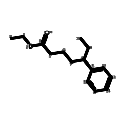 CCOC(=O)CCCC(CC)c1ccccc1